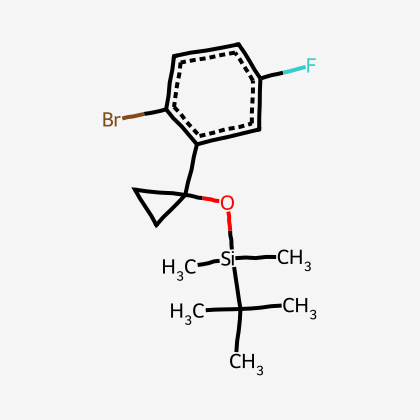 CC(C)(C)[Si](C)(C)OC1(c2cc(F)ccc2Br)CC1